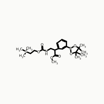 COC(=O)C(CNC(=O)OCCS(C)(C)C)c1cccc(B2OC(C)(C)C(C)(C)O2)c1